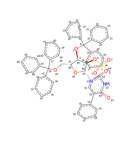 CS(=O)(=O)O[C@@H]1[C@H](OC(c2ccccc2)(c2ccccc2)c2ccccc2)[C@@H](COC(c2ccccc2)(c2ccccc2)c2ccccc2)O[C@H]1n1cc(-c2ccccc2)c(=O)[nH]c1=O